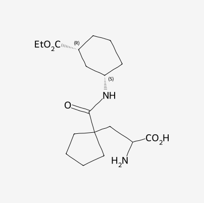 CCOC(=O)[C@@H]1CCC[C@H](NC(=O)C2(CC(N)C(=O)O)CCCC2)C1